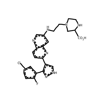 O=C(O)C1CN(CCNc2cnc3ccc(-c4c[nH]nc4-c4cc(Cl)ccc4F)nc3c2)CCN1